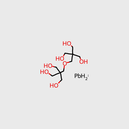 OCC(CO)(CO)COCC(CO)(CO)CO.[PbH2]